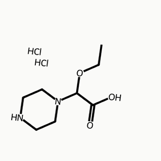 CCOC(C(=O)O)N1CCNCC1.Cl.Cl